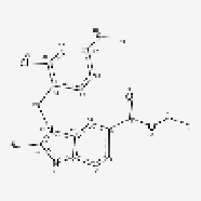 CCOC(=O)c1ccc2nc(C)n(Cc3ccc(SC)cc3Cl)c2c1